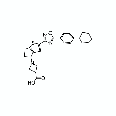 O=C(O)C1CN(C2CCc3sc(-c4noc(-c5ccc(C6CCCCC6)cc5)n4)cc32)C1